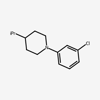 CC(C)C1CCN(c2cccc(Cl)c2)CC1